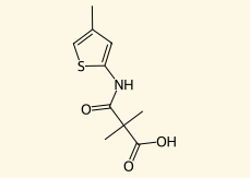 Cc1csc(NC(=O)C(C)(C)C(=O)O)c1